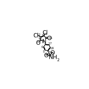 NS(=O)(=O)c1ccc(N2C(=O)C(Cl)=C(Cl)C2=O)cc1